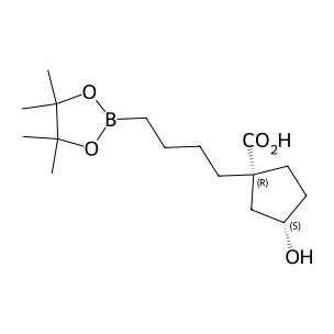 CC1(C)OB(CCCC[C@@]2(C(=O)O)CC[C@H](O)C2)OC1(C)C